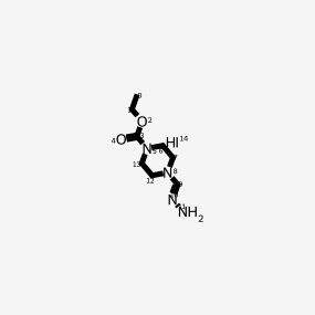 CCOC(=O)N1CCN(C=NN)CC1.I